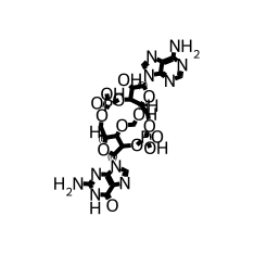 Nc1nc2c(ncn2[C@@H]2O[C@@H]3COP(=O)(O)OC4C(O)[C@H](n5cnc6c(N)ncnc65)O[C@@H]4COP(=O)(O)OC2C3OCO)c(=O)[nH]1